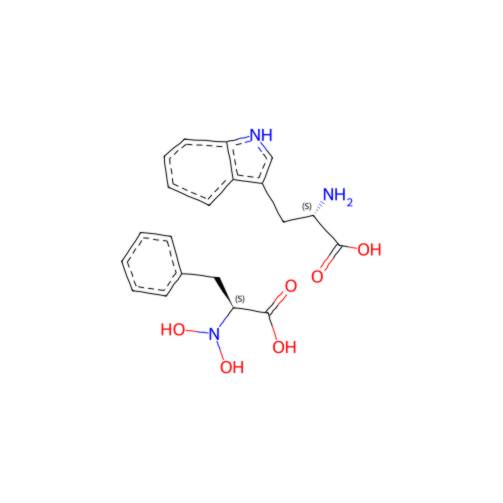 N[C@@H](Cc1c[nH]c2ccccc12)C(=O)O.O=C(O)[C@H](Cc1ccccc1)N(O)O